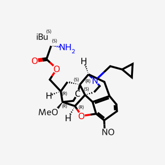 CC[C@H](C)[C@H](N)C(=O)OC[C@H]1C[C@@]23CC[C@]1(OC)[C@@H]1Oc4c(N=O)ccc5c4[C@@]12CCN(CC1CC1)[C@@H]3C5